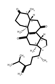 C=C(CC[C@@H](C)[C@H]1CC[C@H]2C3=C(C(=O)C[C@]12C)[C@@]1(C)CCC(=O)[C@@H](C)[C@@H]1CC3=O)C(C)C